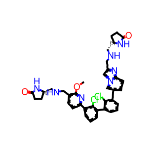 COc1nc(-c2cccc(-c3cccc(-c4ccc5nc(CNC[C@@H]6CCC(=O)N6)cn5c4)c3Cl)c2Cl)ccc1CNC[C@H]1CCC(=O)N1